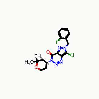 CC1(C)C[C@H](n2nnc3c(Cl)n(Cc4ccccc4F)nc3c2=O)CCO1